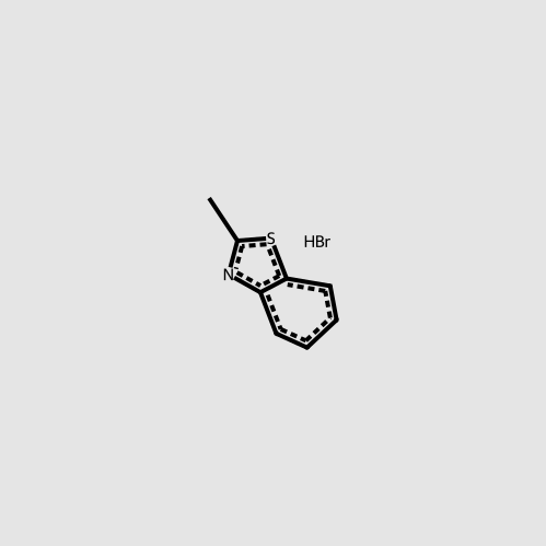 Br.Cc1nc2ccccc2s1